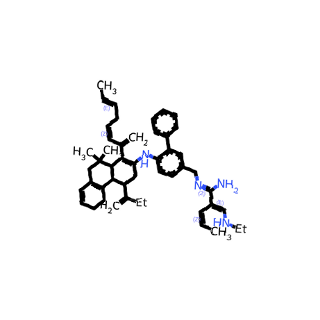 C=C(/C=C\C/C=C/C)C1=C(Nc2ccc(C/N=C(N)/C(/C=C\C)=C/NCC)cc2-c2ccccc2)CC(C(=C)CC)C2C3=C(C=CCC3)CC(C)(C)C12